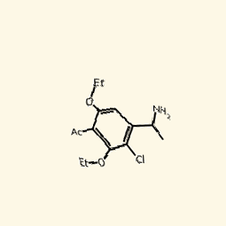 CCOc1cc(C(C)N)c(Cl)c(OCC)c1C(C)=O